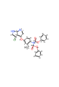 Cc1cc(Oc2ccnc3[nH]cc(Cl)c23)ccc1N(C(=O)Oc1ccccc1)C(=O)Oc1ccccc1